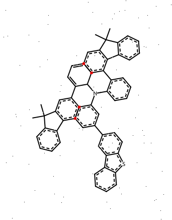 CC1(C)c2ccccc2-c2ccc(C3=CC=CCC3N(c3cccc(-c4ccc5sc6ccccc6c5c4)c3)c3ccccc3-c3cccc4c3-c3ccccc3C4(C)C)cc21